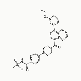 CCOc1cccc(-c2ccc(C(=O)N3CCN(c4ccc(C(=O)NS(C)(=O)=O)cc4)CC3)c3ccccc23)c1